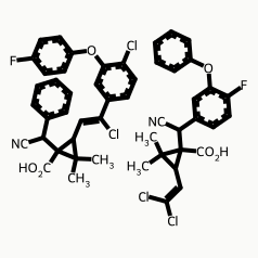 CC1(C)C(C=C(Cl)Cl)C1(C(=O)O)C(C#N)c1ccc(F)c(Oc2ccccc2)c1.CC1(C)C(C=C(Cl)c2ccc(Cl)c(Oc3ccc(F)cc3)c2)C1(C(=O)O)C(C#N)c1ccccc1